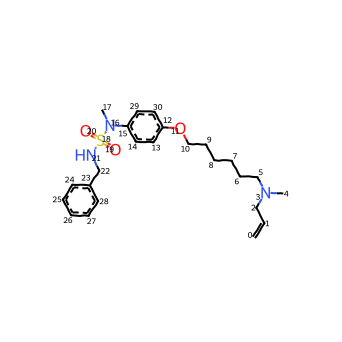 C=CCN(C)CCCCCCOc1ccc(N(C)S(=O)(=O)NCc2ccccc2)cc1